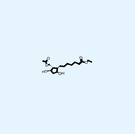 CCOC(=O)CCCCCC[C@@H]1[C@@H](COC(C)=O)[C@H](O)C[C@@H]1O